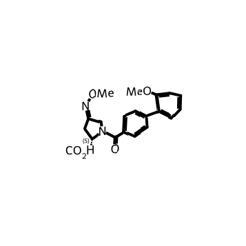 CON=C1C[C@@H](C(=O)O)N(C(=O)c2ccc(-c3ccccc3OC)cc2)C1